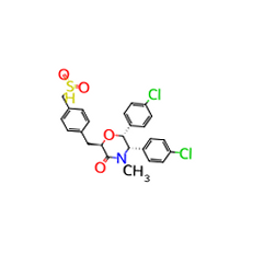 CN1C(=O)[C@@H](Cc2ccc(C[SH](=O)=O)cc2)O[C@H](c2ccc(Cl)cc2)[C@@H]1c1ccc(Cl)cc1